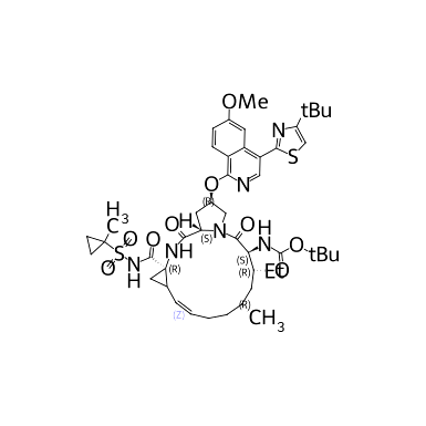 CC[C@@H]1C[C@H](C)CC/C=C\C2C[C@@]2(C(=O)NS(=O)(=O)C2(C)CC2)NC(=O)[C@@H]2C[C@@H](Oc3ncc(-c4nc(C(C)(C)C)cs4)c4cc(OC)ccc34)CN2C(=O)[C@H]1NC(=O)OC(C)(C)C